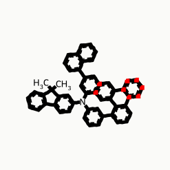 CC1(C)c2ccccc2-c2ccc(N(c3cccc(-c4cccc(-c5ccccc5)c4-c4ccccc4-c4ccccc4)c3)c3cccc(-c4cccc5ccccc45)c3)cc21